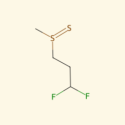 CS(=S)CCC(F)F